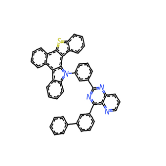 c1ccc(-c2cccc(-c3nc(-c4cccc(-n5c6ccccc6c6c7ccccc7c7sc8ccccc8c7c65)c4)nc4cccnc34)c2)cc1